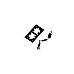 CCOP=O.c1cc2ccc1-2